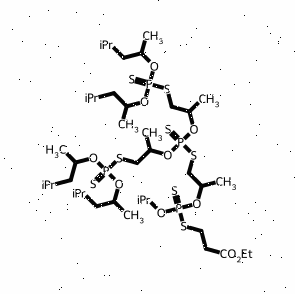 CCOC(=O)CCSP(=S)(OC(C)C)OC(C)CSP(=S)(OC(C)CSP(=S)(OC(C)CC(C)C)OC(C)CC(C)C)OC(C)CSP(=S)(OC(C)CC(C)C)OC(C)CC(C)C